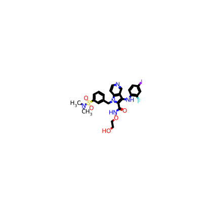 CN(C)S(=O)(=O)c1cccc(Cn2c(C(=O)NOCCO)c(Nc3ccc(I)cc3F)c3cnccc32)c1